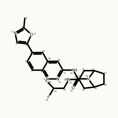 Cc1ncc(-c2ccc3nnc(NC(=O)N4C5CCC4CC(NCC(F)F)C5)cc3c2)o1